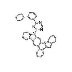 c1ccc(-c2cccc(-c3ncnc(-n4c5ccccc5c5cc6c7ccccc7c7cc8ccccc8n7c6cc54)n3)c2)cc1